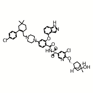 CC1(C)CCC(CN2CCN(c3ccc(C(=O)NS(=O)(=O)c4cnc(OC[C@@H]5C[C@@H]6C[C@@H]5C[C@@]6(C)O)c(Cl)c4)c(Oc4cccc5[nH]ncc45)c3)CC2)=C(c2ccc(Cl)cc2)C1